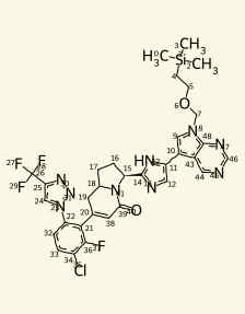 C[Si](C)(C)CCOCn1cc(-c2cnc([C@@H]3CCC4CC(c5c(-n6cc(C(F)(F)F)nn6)ccc(Cl)c5F)=CC(=O)N43)[nH]2)c2cncnc21